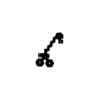 CCc1nccn1CCCCCCSc1nc(-c2ccccc2)c(-c2ccccc2)[nH]1